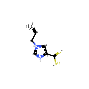 C=CCn1cnc(C(=S)S)c1